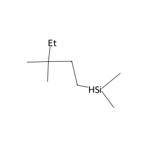 CCC(C)(C)CC[SiH](C)C